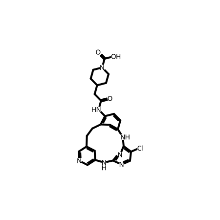 O=C(CC1CCN(C(=O)O)CC1)Nc1ccc2cc1CCc1cncc(c1)Nc1ncc(Cl)c(n1)N2